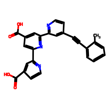 Cc1ccccc1C#Cc1ccnc(-c2cc(C(=O)O)cc(-c3cc(C(=O)O)ccn3)n2)c1